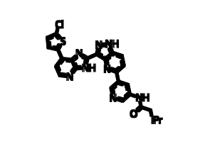 CC(C)CC(=O)Nc1cncc(-c2ccc3[nH]nc(-c4nc5c(-c6ccc(Cl)s6)ccnc5[nH]4)c3n2)c1